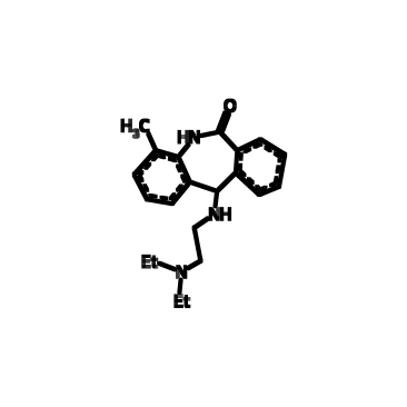 CCN(CC)CCNC1c2ccccc2C(=O)Nc2c(C)cccc21